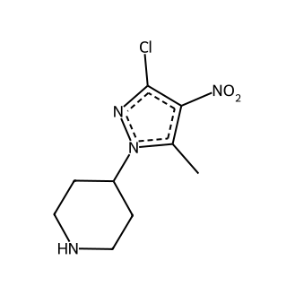 Cc1c([N+](=O)[O-])c(Cl)nn1C1CCNCC1